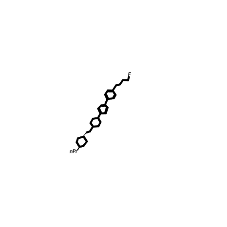 CCC[C@H]1CC[C@H](CCC2CCC(c3ccc(-c4ccc(CCCCF)cc4)cc3)CC2)CC1